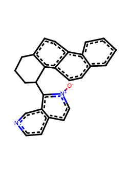 [O-][n+]1ccc2ccncc2c1C1CCCc2ccc3c(ccc4ccccc43)c21